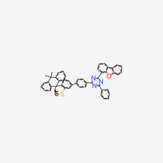 CC1(C)c2ccccc2C2(c3ccccc3Sc3cc(-c4ccc(-c5nc(-c6ccccc6)nc(-c6cccc7c6oc6ccccc67)n5)cc4)ccc32)c2ccccc21